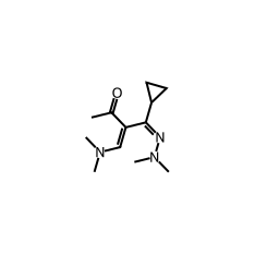 CC(=O)C(=C\N(C)C)/C(=N\N(C)C)C1CC1